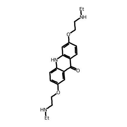 CCNCCOc1ccc2c(=O)c3cc(OCCNCC)ccc3[nH]c2c1